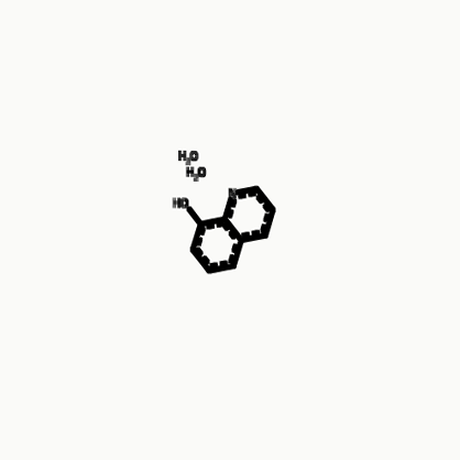 O.O.Oc1cccc2cccnc12